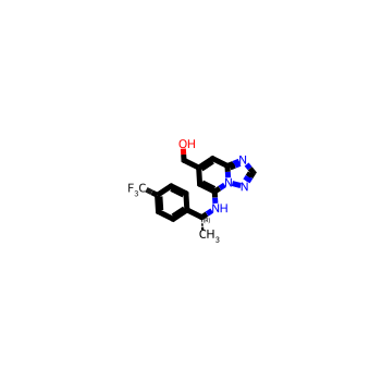 C[C@@H](Nc1cc(CO)cc2ncnn12)c1ccc(C(F)(F)F)cc1